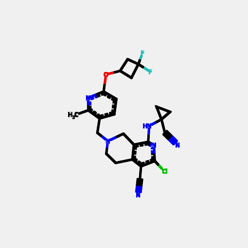 Cc1nc(OC2CC(F)(F)C2)ccc1CN1CCc2c(C#N)c(Cl)nc(NC3(C#N)CC3)c2C1